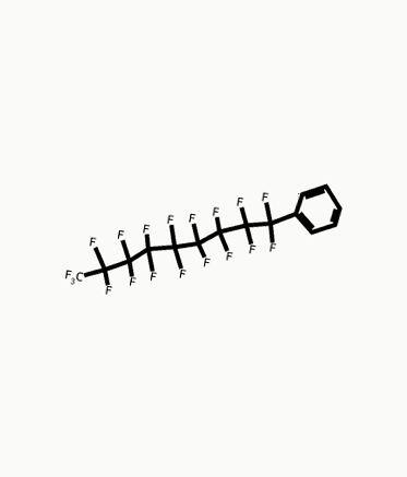 FC(F)(F)C(F)(F)C(F)(F)C(F)(F)C(F)(F)C(F)(F)C(F)(F)C(F)(F)C(F)(F)c1[c]cccc1